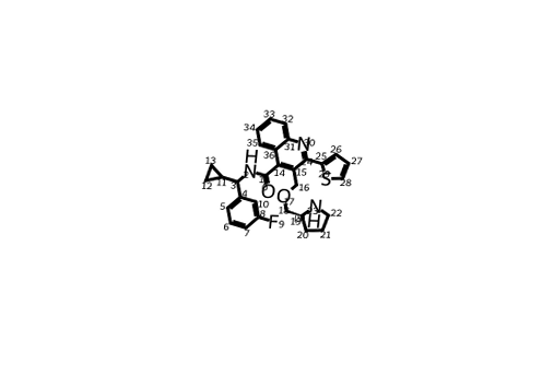 O=C(NC(c1cccc(F)c1)C1CC1)c1c(COC[C@@H]2CCCN2)c(-c2cccs2)nc2ccccc12